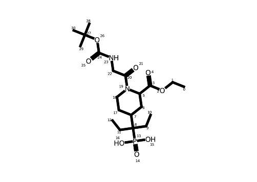 CCOC(=O)C1CC(C(CC)(CC)P(=O)(O)O)CCN1C(=O)CNC(=O)OC(C)(C)C